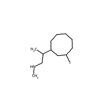 CNCC(C)C1CCCCCC(I)C1